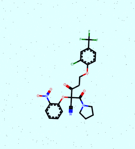 N#CC(Oc1ccccc1[N+](=O)[O-])(C(=O)CCOc1ccc(C(F)(F)F)cc1Cl)C(=O)N1CCCC1